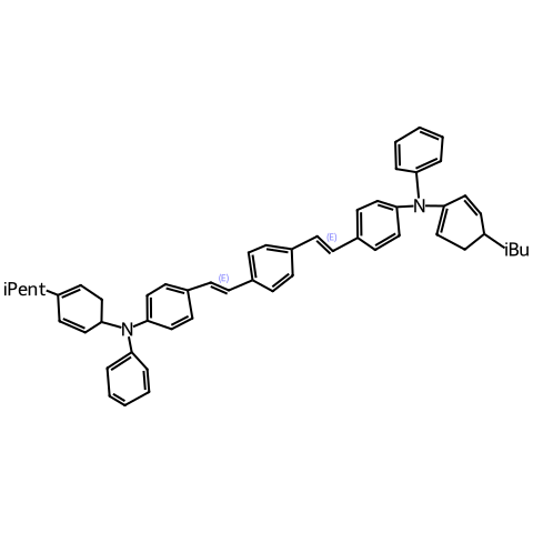 CCCC(C)C1=CCC(N(c2ccccc2)c2ccc(/C=C/c3ccc(/C=C/c4ccc(N(C5=CCC(C(C)CC)C=C5)c5ccccc5)cc4)cc3)cc2)C=C1